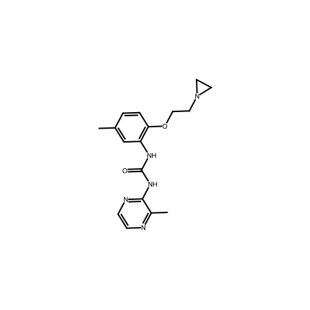 Cc1ccc(OCCN2CC2)c(NC(=O)Nc2nccnc2C)c1